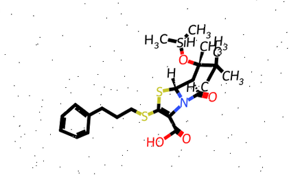 C[SiH](C)O[C@@](C)([C@@H]1C(=O)N2C(C(=O)O)=C(SCCCc3ccccc3)S[C@H]12)C(C)(C)C